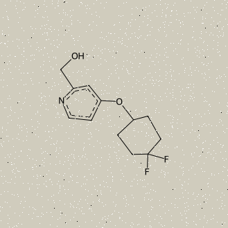 OCc1cc(OC2CCC(F)(F)CC2)ccn1